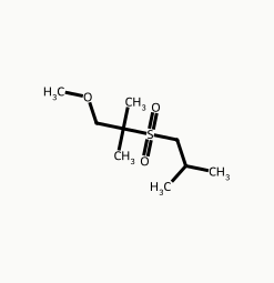 COCC(C)(C)S(=O)(=O)CC(C)C